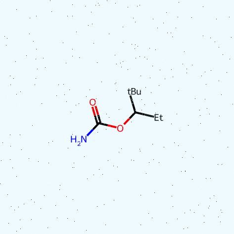 CCC(OC(N)=O)C(C)(C)C